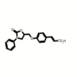 O=C(O)C=Cc1ccc(OCC2CN(c3ccccc3)C(=O)O2)cc1